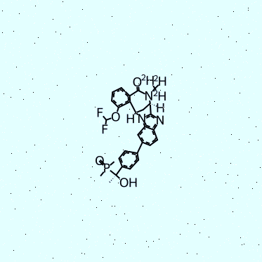 [2H]C([2H])([2H])N1C(=O)c2cccc(OC(F)F)c2[C@H]2C[C@@H]1c1nc3ccc(-c4ccc([C@@](C)(O)P(C)(C)=O)cc4)cc3n12